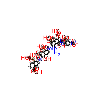 Nc1c(N=Nc2ccc3c(O)c(N=Nc4ccc5c(S(=O)(=O)O)cccc5c4SOOO)c(S(=O)(=O)O)cc3c2S(=O)(=O)O)cc(S(=O)(=O)O)c2cc(SOOO)c(N=Nc3ccc([N+](=O)[O-])cc3S(=O)(=O)O)c(O)c12